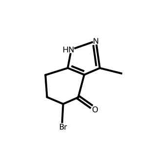 Cc1n[nH]c2c1C(=O)C(Br)CC2